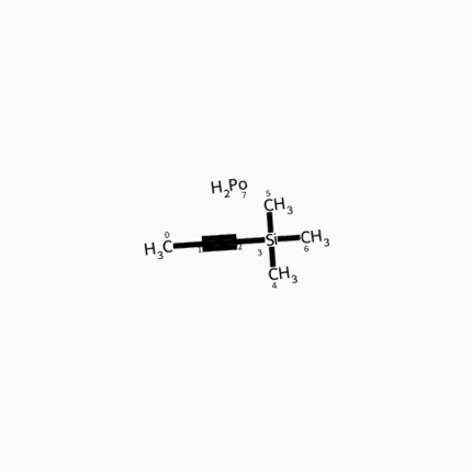 CC#C[Si](C)(C)C.[PoH2]